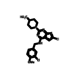 COc1ccc(CNc2nc(N3CCC(C(=O)O)CC3)nc3sc(Cl)cc23)cc1Cl